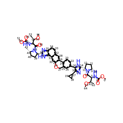 COC(=O)N[C@H](C(=O)N1[C@@H](C)CC[C@H]1c1nc(C2CC2)c(-c2ccc3c(c2)COc2cc4c(ccc5nc([C@@H]6CC[C@H](C)N6C(=O)[C@@H](NC(=O)OC)[C@@H](C)OC)[nH]c54)cc2-3)[nH]1)[C@@H](C)OC